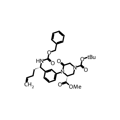 C=CCC[C@H](NC(=O)OCc1ccccc1)c1cccc(N2C(=O)CN(C(=O)OC(C)(C)C)C[C@@H]2C(=O)OC)c1